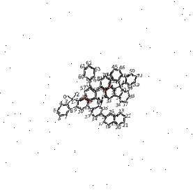 CC1(C)c2ccccc2-c2cc(-c3ccc(-c4ccc5ccccc5c4)cc3N(c3ccc4c(c3)-c3ccccc3C4(c3ccccc3)c3ccccc3)c3cccc(-c4ccccc4)c3-c3ccccc3)ccc21